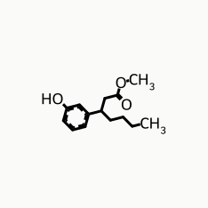 CCCCC(CC(=O)OC)c1cccc(O)c1